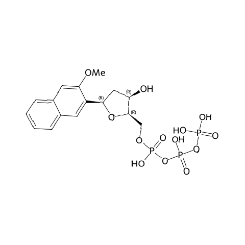 COc1cc2ccccc2cc1[C@H]1C[C@@H](O)[C@@H](COP(=O)(O)OP(=O)(O)OP(=O)(O)O)O1